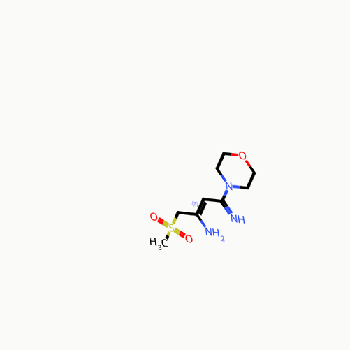 CS(=O)(=O)C/C(N)=C/C(=N)N1CCOCC1